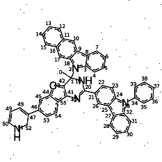 CC1(n2c3ccccc3c3cc4ccccc4cc32)NC(c2ccc3c(c2)c2ccccc2n3-c2ccccc2)=Nc2c1oc1cc(C3=CC=CNC3)ccc21